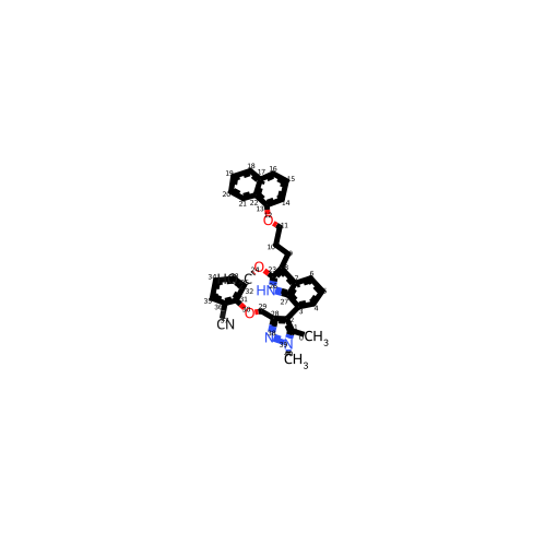 Cc1c(-c2cccc3c(CCCOc4cccc5ccccc45)c(OC(=O)O)[nH]c23)c(COc2ccccc2C#N)nn1C